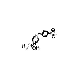 CB(O)N1CCN(Cc2ccc([N+](=O)[O-])cc2)CC1